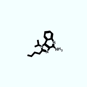 CCCCc1nc2c(N)nc3ccccc3c2n1C(C)C